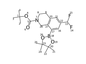 CC(C)(C)OC(=O)N1CCc2cc(C(F)F)cc(B3OC(C)(C)C(C)(C)O3)c2C1